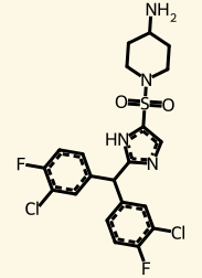 NC1CCN(S(=O)(=O)c2cnc(C(c3ccc(F)c(Cl)c3)c3ccc(F)c(Cl)c3)[nH]2)CC1